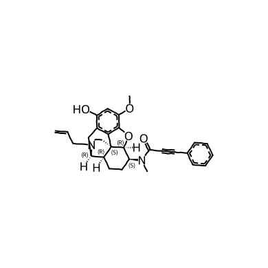 C=CCN1CC[C@]23c4c5c(O)cc(OC)c4O[C@H]2[C@@H](N(C)C(=O)C#Cc2ccccc2)CC[C@H]3[C@H]1C5